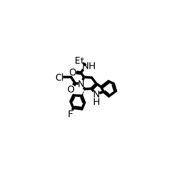 CCNC(=O)C1Cc2c([nH]c3ccccc23)[C@H](c2ccc(F)cc2)N1C(=O)CCl